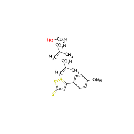 C=C(C)C(=O)O.C=C(C)C(=O)O.COc1ccc(-c2cc(=S)ss2)cc1.O=C(O)O